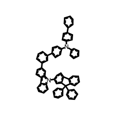 c1ccc(-c2ccc(N(c3ccccc3)c3ccc(-c4cccc(-c5ccc6c7ccccc7n(-c7ccc8c(c7)C(c7ccccc7)(c7ccccc7)c7ccccc7-8)c6c5)c4)cc3)cc2)cc1